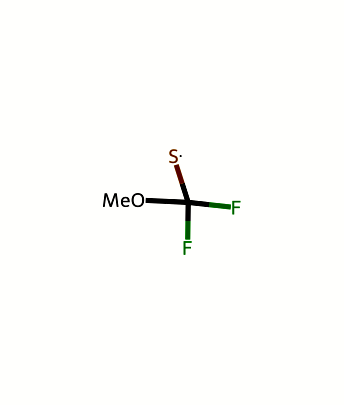 COC(F)(F)[S]